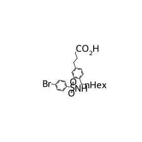 CCCCCCC(NS(=O)(=O)c1ccc(Br)cc1)c1ccc(CCCC(=O)O)cc1